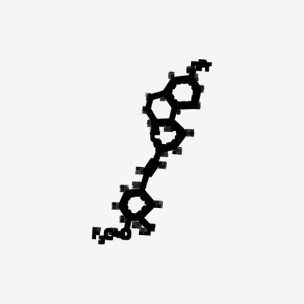 CCCc1ccc2c(c1)CCc1cc(C#Cc3ccc(OC(F)(F)F)c(F)c3)ccc1-2